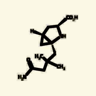 CC(C)(CC(N)=O)C[C@]12C[C@@H]1C[C@@H](C(=O)O)N2